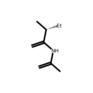 C=C(C)NC(=C)[C@H](C)CC